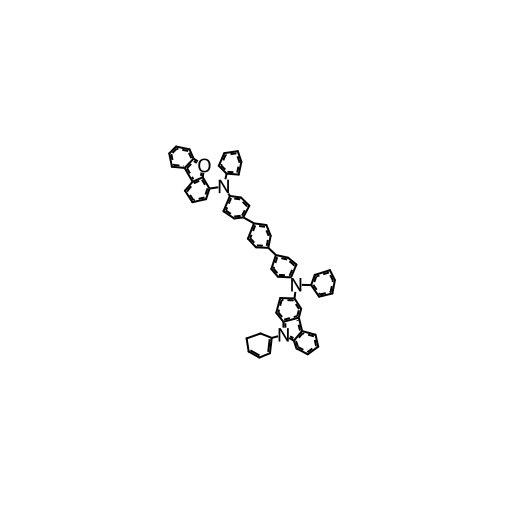 C1=CCCC(n2c3ccccc3c3cc(N(c4ccccc4)c4ccc(-c5ccc(-c6ccc(N(c7ccccc7)c7cccc8c7oc7ccccc78)cc6)cc5)cc4)ccc32)=C1